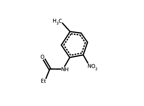 CCC(=O)Nc1cc(C)ccc1[N+](=O)[O-]